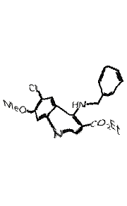 CCOC(=O)c1cnc2cc(OC)c(Cl)cc2c1NCc1ccccc1